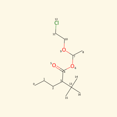 CCCC(C(=O)OC(C)OCCCl)C(C)(C)C